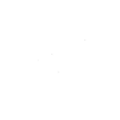 O=C1c2ccccc2OCC1SC(=O)C(F)(F)F